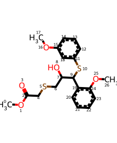 COC(=O)CSCC(O)C(Sc1cccc(OC)c1)c1ccccc1OC